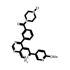 C=C(/C=c1/c(-c2cccc(C(=O)N3CCN(CC)CC3)c2)ncn/c1=C/C)c1ccc(OC)nc1